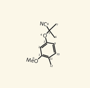 COc1cc(OC(C)(C)C#N)ccc1C